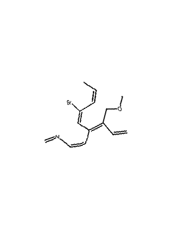 C=C/C(COC)=C(\C=C/N=C)/C=C(Br)\C=C/C